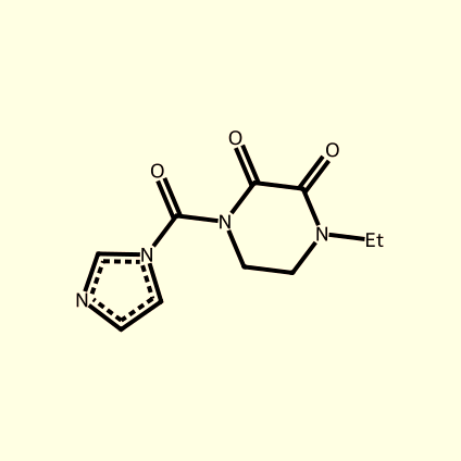 CCN1CCN(C(=O)n2ccnc2)C(=O)C1=O